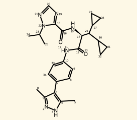 Cc1n[nH]c(C)c1-c1ccc(NC(=O)[C@@H](NC(=O)c2ncnn2C(C)C)C(C2CC2)C2CC2)cc1